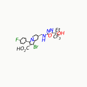 CCC(O)(c1nnc(NCc2ccn3c(-c4ccc(F)cc4)c(C(=O)O)c(Br)c3c2)o1)C(F)(F)F